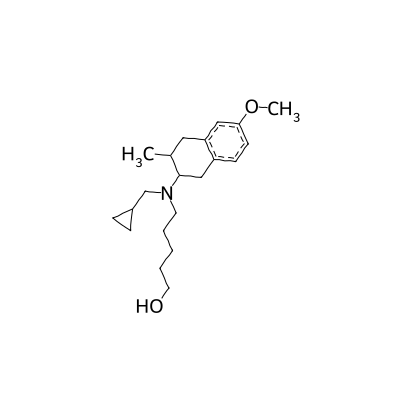 COc1ccc2c(c1)CC(C)C(N(CCCCCO)CC1CC1)C2